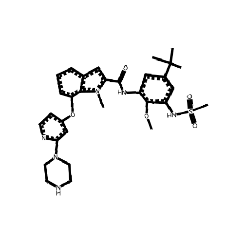 COc1c(NC(=O)c2cc3cccc(Oc4ccnc(N5CCNCC5)c4)c3n2C)cc(C(C)(C)C)cc1NS(C)(=O)=O